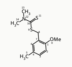 COc1ccc(C)cc1CSC(=S)N(C)C